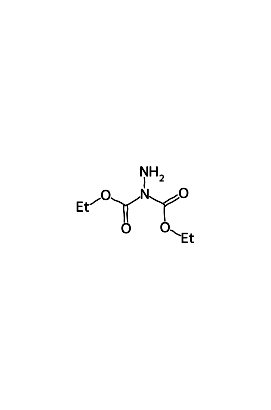 CCOC(=O)N(N)C(=O)OCC